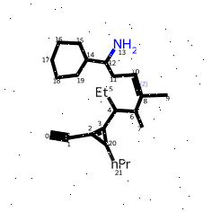 C#CC1=C(C(CC)C(C)/C(C)=C\CC(N)C2CCCCC2)C1CCC